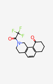 O=C1CCCc2ccc3c(c21)CN(C(=O)C(F)(F)F)CC3